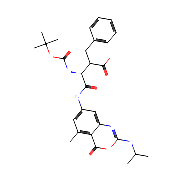 Cc1cc(NC(=O)[C@@H](NC(=O)OC(C)(C)C)C(Cc2ccccc2)C(=O)O)cc2nc(NC(C)C)oc(=O)c12